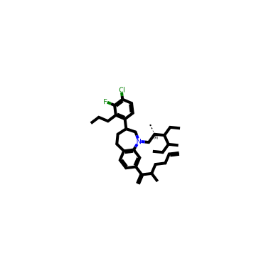 C=CCCC(C)C(=C)c1ccc2c(c1)N(C[C@H](C)C(CC)C(C)CC)CC(c1ccc(Cl)c(F)c1CCC)CC2